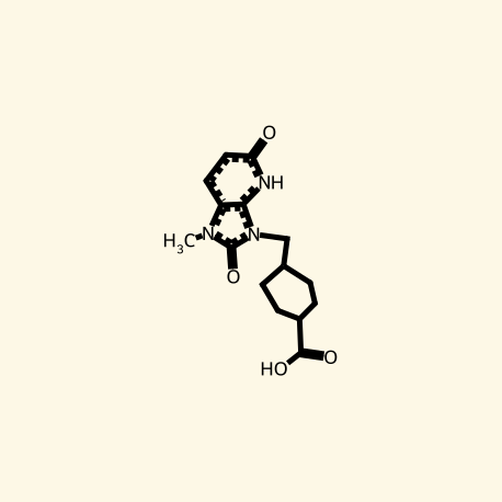 Cn1c(=O)n(CC2CCC(C(=O)O)CC2)c2[nH]c(=O)ccc21